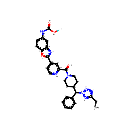 CC(=O)OCc1nnn(C(c2ccccc2)C2CCN(C(=O)c3cc(-c4nc5cc(NC(=O)OF)ccc5o4)ccn3)CC2)n1